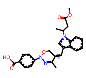 COC(=O)CC(C)n1cc(/C=C2\CON(c3ccc(C(=O)O)cc3)N=C2C)c2ccccc21